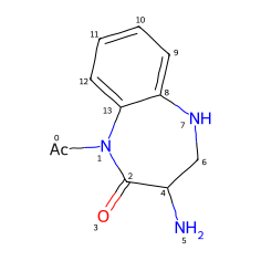 CC(=O)N1C(=O)C(N)CNc2ccccc21